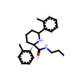 CCCNC(=O)[C@@]1(c2ccccc2C)CCCC(c2ccccc2C)N1